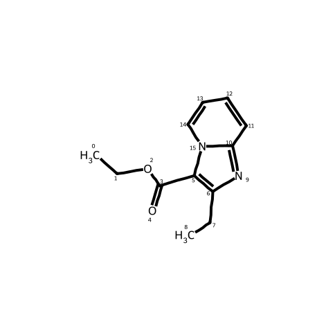 CCOC(=O)c1c(CC)nc2ccccn12